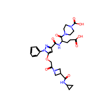 O=C(O)CCC(NC(=O)c1cc(OCC(=O)N2CC(C(=O)NC3CC3)C2)n(-c2ccccc2)n1)C(=O)N1CCN(C(=O)O)CC1